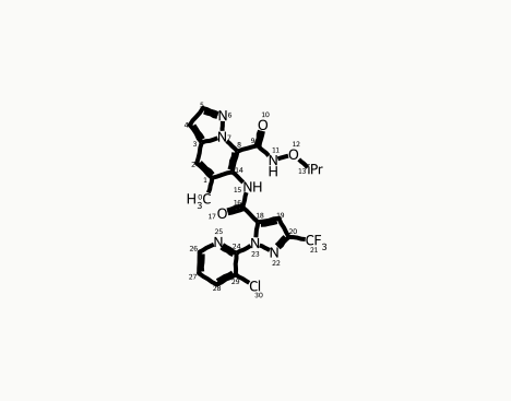 Cc1cc2ccnn2c(C(=O)NOC(C)C)c1NC(=O)c1cc(C(F)(F)F)nn1-c1ncccc1Cl